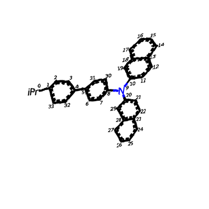 CC(C)c1ccc(-c2ccc(N(c3ccc4ccccc4c3)c3ccc4ccccc4c3)cc2)cc1